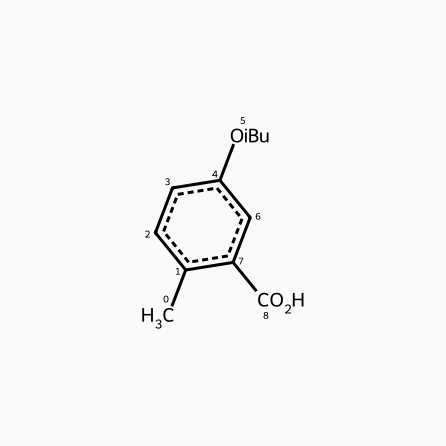 Cc1ccc(OCC(C)C)cc1C(=O)O